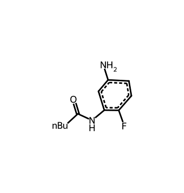 CCCCC(=O)Nc1cc(N)ccc1F